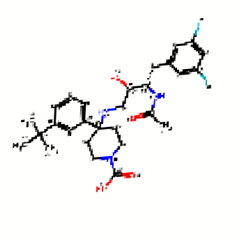 CC(=O)N[C@@H](Cc1cc(F)cc(F)c1)[C@H](O)CNC1(c2cccc(C(C)(C)C)c2)CCN(C(=O)O)CC1